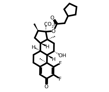 C[C@@H]1C[C@H]2[C@@H]3CCC4=CC(=O)C(F)=C(F)[C@]4(C)[C@H]3[C@@H](O)C[C@]2(C)[C@@]1(OC(=O)CC1CCCC1)C(=O)O